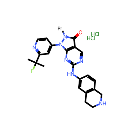 CC(C)n1c(=O)c2cnc(Nc3ccc4c(c3)CCNC4)nc2n1-c1ccnc(C(C)(C)F)c1.Cl.Cl